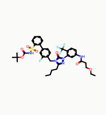 CCCCc1nn(-c2cc(NC(=O)CCOCC)ccc2C(F)(F)F)c(=O)n1Cc1ccc(-c2ccccc2S(=O)(=O)NC(=O)OC(C)(C)C)cc1F